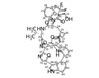 CC(C)[C@@H]1NC(=O)[C@@H](NC(=O)[C@](CO)(c2ccccc2)C(F)(F)F)Cc2ccc3c(c2)C24c5cccc(c5NC2O3)-c2cccc3[nH]cc(c23)-c2cnc(o2)-c2nc1oc24